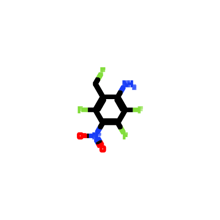 Nc1c(F)c(F)c([N+](=O)[O-])c(F)c1CF